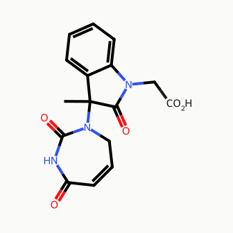 CC1(N2CC=CC(=O)NC2=O)C(=O)N(CC(=O)O)c2ccccc21